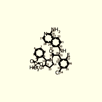 CCS(=O)(=O)c1ccccc1C1C(C(=O)O)CCN1C(=O)[C@@H](Nc1ccc2c(N)nccc2c1)c1cc(Cl)ccc1F